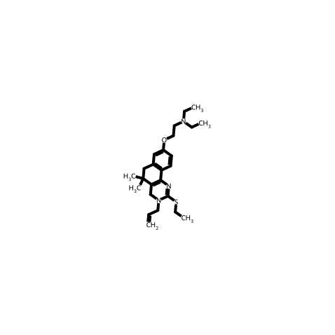 C=CCN1CC2=C(N=C1SCC)c1ccc(OCCN(CC)CC)cc1CC2(C)C